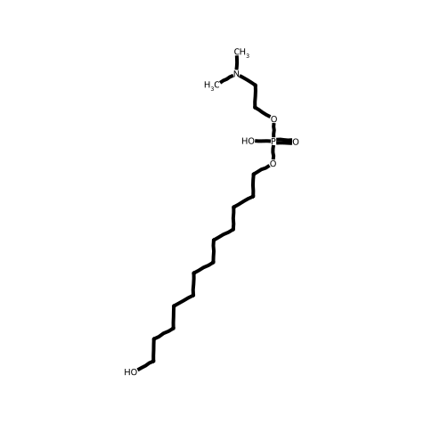 CN(C)CCOP(=O)(O)OCCCCCCCCCCCCO